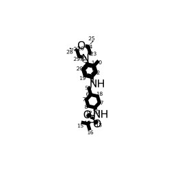 Cc1cc(NCC2CCC(NS(=O)(=O)C(C)C)CC2)ccc1N1C[C@@H](C)O[C@@H](C)C1